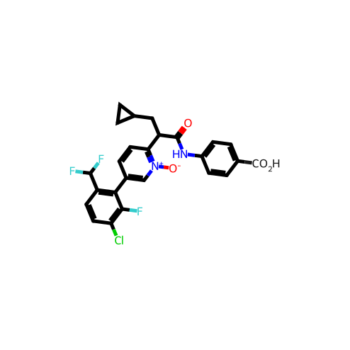 O=C(O)c1ccc(NC(=O)C(CC2CC2)c2ccc(-c3c(C(F)F)ccc(Cl)c3F)c[n+]2[O-])cc1